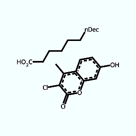 CCCCCCCCCCCCCCCC(=O)O.Cc1c(Cl)c(=O)oc2cc(O)ccc12